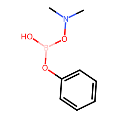 CN(C)OB(O)Oc1ccccc1